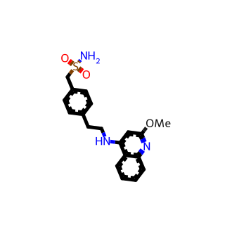 COc1cc(NCCc2ccc(CS(N)(=O)=O)cc2)c2ccccc2n1